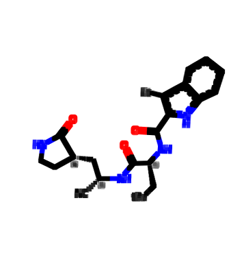 CCc1c(C(=O)N[C@@H](CC(C)(C)C)C(=O)N[C@H](C#N)C[C@@H]2CCNC2=O)[nH]c2ccccc12